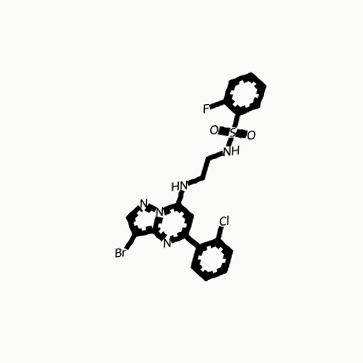 O=S(=O)(NCCNc1cc(-c2ccccc2Cl)nc2c(Br)cnn12)c1ccccc1F